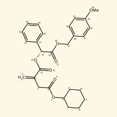 C=C(CC(=O)OC1CCCCC1)C(=O)O[C@@H](C(=O)OCc1ccc(OC)cc1)c1ccccc1